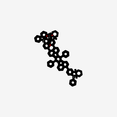 CC12CCCCC1(C)c1cc(-c3ccc4c5c(-c6ccccc6)c6c7ccc(-c8ccc9c(c8)C8(C)CCCCC8(C)B9c8ccccc8)c8c(-c9ccc%10c(c9)C9(C)CCCCC9(C)B%10c9ccccc9)ccc(c6c(-c6ccccc6)c5c5cccc3c54)c87)ccc1B2c1ccccc1